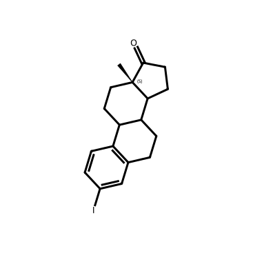 C[C@]12CCC3c4ccc(I)cc4CCC3C1CCC2=O